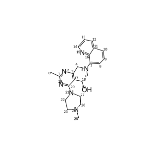 Cc1nc(CN(C)c2cccc3cccnc23)c(CO)c(N2CCN(C)CC2)n1